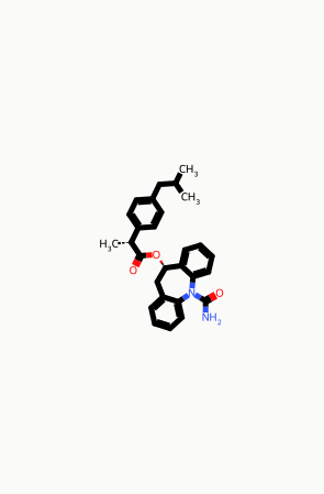 CC(C)Cc1ccc([C@@H](C)C(=O)O[C@H]2Cc3ccccc3N(C(N)=O)c3ccccc32)cc1